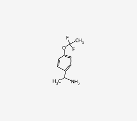 CC(N)c1ccc(OC(C)(F)F)cc1